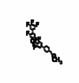 COCCC1CCC(c2cc(F)c(C(F)(F)Oc3ccc(-c4cc(F)c(F)c(F)c4)c(F)c3)c(F)c2)CC1